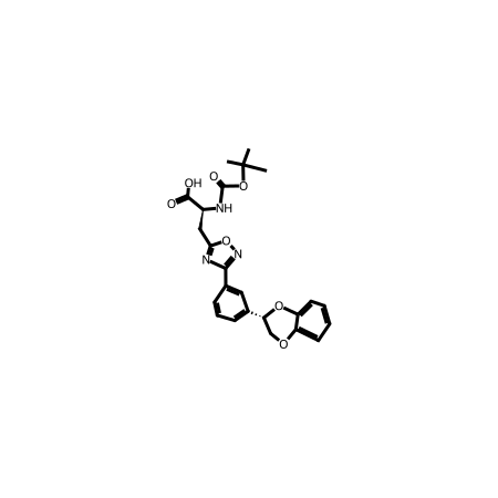 CC(C)(C)OC(=O)N[C@@H](Cc1nc(-c2cccc([C@H]3COc4ccccc4O3)c2)no1)C(=O)O